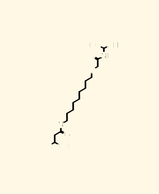 CC(C)CC(=O)NCCCCCCCCCOCC(=O)NC(C)C